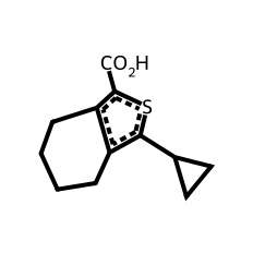 O=C(O)c1sc(C2CC2)c2c1CCCC2